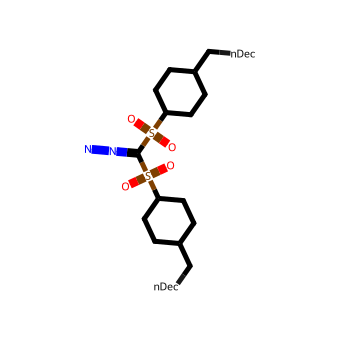 CCCCCCCCCCCC1CCC(S(=O)(=O)C(=[N+]=[N-])S(=O)(=O)C2CCC(CCCCCCCCCCC)CC2)CC1